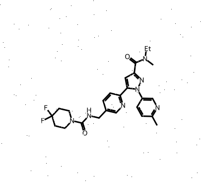 CCN(C)C(=O)c1cc(-c2ccc(CNC(=O)N3CCC(F)(F)CC3)cn2)n(-c2ccc(C)nc2)n1